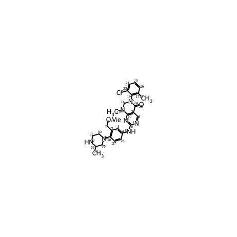 COCc1cc(Nc2ncc3c(n2)N(C)CN(c2c(C)cccc2Cl)C3=O)ccc1N1CCNC(C)C1